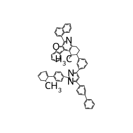 CC1CC=CC=C1c1ccc(-c2nc(-c3ccc(-c4ccccc4)cc3)cc(-c3cccc(C4CCc5nc(-c6cccc7ccccc67)c6oc7ccccc7c6c5C4C)c3)n2)cc1